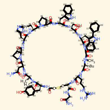 CCCC[C@H]1C(=O)N(C)[C@@H](CCCC)C(=O)NC(CCCNC(=N)N)C(=O)N[C@H](C(=O)NCC(N)=O)CSCC(=O)N[C@@H](Cc2ccc(O)cc2)C(=O)N(C)[C@@H](C)C(=O)NC(CC(N)=O)C(=O)N2CCC[C@H]2C(=O)N[C@@H](Cc2cnc[nH]2)C(=O)N[C@@H](CC(C)C)C(=O)N2CCC[C@H]2C(=O)N[C@@H](Cc2c[nH]c3ccccc23)C(=O)N[C@@H](CO)C(=O)N[C@@H](Cc2c(-c3ccccc3)[nH]c3ccccc23)C(=O)N1C